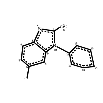 CCCc1nc2ccc(C)cc2n1-c1ccccc1